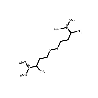 CO[SiH](OC)C(C)CCSSCCC(C)[SiH](OC)OC